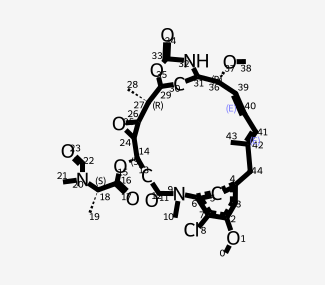 COc1cc2cc(c1Cl)N(C)C(=O)C[C@H](OC(=O)[C@H](C)N(C)C=O)C1OC1[C@H](C)C1CC(NC(=O)O1)[C@H](OC)/C=C/C=C(\C)C2